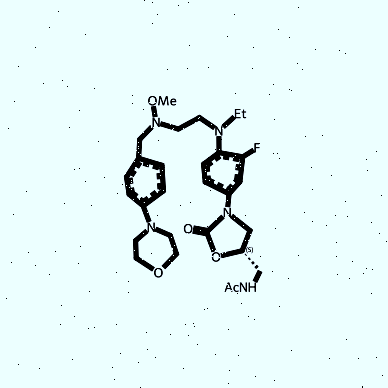 CCN(CCN(Cc1ccc(N2CCOCC2)cc1)OC)c1ccc(N2C[C@H](CNC(C)=O)OC2=O)cc1F